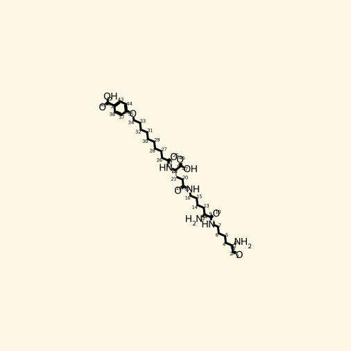 N[C@H]([C]=O)CCCCNC(=O)[C@@H](N)CCCCNC(=O)CC[C@H](NC(=O)CCCCCCCCCOc1ccc(C(=O)O)cc1)C(=O)O